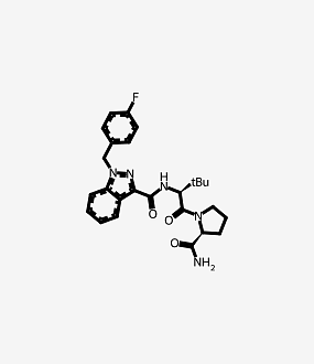 CC(C)(C)[C@H](NC(=O)c1nn(Cc2ccc(F)cc2)c2ccccc12)C(=O)N1CCC[C@H]1C(N)=O